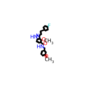 COc1cccc(CNC(=O)c2ccc3[nH]nc(/C=C/c4ccc(F)cc4)c3c2OC)c1